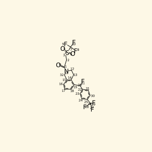 O=C(CCS(=O)(=O)C(F)(F)F)N1CCc2c(cccc2C(F)c2ccc(C(F)(F)F)cc2)C1